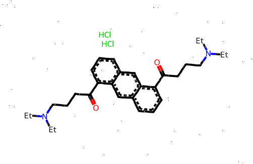 CCN(CC)CCCC(=O)c1cccc2cc3c(C(=O)CCCN(CC)CC)cccc3cc12.Cl.Cl